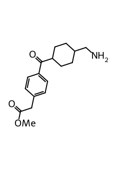 COC(=O)Cc1ccc(C(=O)C2CCC(CN)CC2)cc1